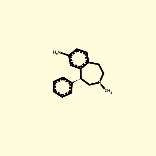 CN1CCc2ccc(N)cc2[C@@H](c2ccccc2)C1